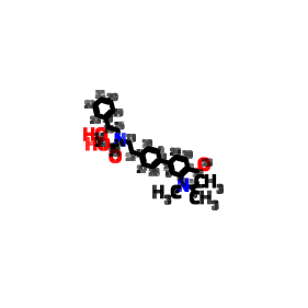 CC(C)N(C)c1cc(-c2ccc(CCN(C[C@@H](O)c3ccccc3)C(=O)O)cc2)ccc1C=O